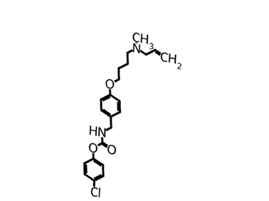 C=CCN(C)CCCCOc1ccc(CNC(=O)Oc2ccc(Cl)cc2)cc1